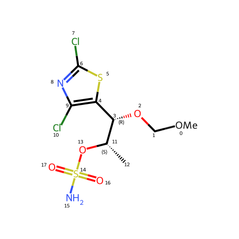 COCO[C@@H](c1sc(Cl)nc1Cl)[C@H](C)OS(N)(=O)=O